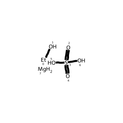 CCO.O=S(=O)(O)O.[MgH2]